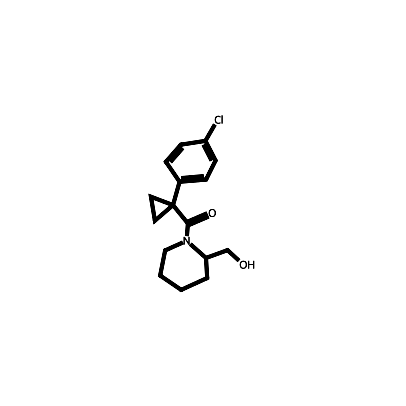 O=C(N1CCCCC1CO)C1(c2ccc(Cl)cc2)CC1